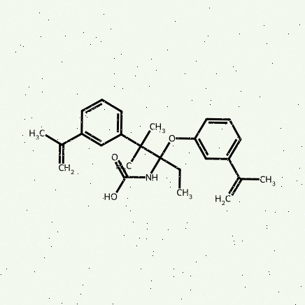 C=C(C)c1cccc(OC(CC)(NC(=O)O)C(C)(C)c2cccc(C(=C)C)c2)c1